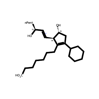 CCCCC[C@H](O)/C=C/[C@@H]1C(CCCCCCC(=O)O)=C(C2CCCCC2)C[C@H]1O